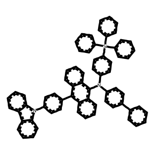 c1ccc(-c2ccc(N(c3ccc([Si](c4ccccc4)(c4ccccc4)c4ccccc4)cc3)c3c4ccccc4c(-c4ccc(-n5c6ccccc6c6ccccc65)cc4)c4ccccc34)cc2)cc1